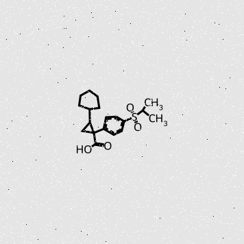 CC(C)S(=O)(=O)c1ccc(C2(C(=O)O)CC2C2CCCCC2)cc1